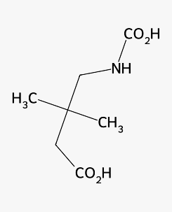 CC(C)(CNC(=O)O)CC(=O)O